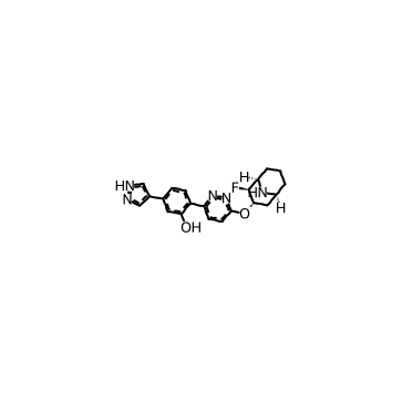 Oc1cc(-c2cn[nH]c2)ccc1-c1ccc(O[C@H]2C[C@@H]3CCC[C@@H](N3)[C@@H]2F)nn1